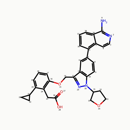 Nc1nccc2c(-c3ccc4c(c3)c(COc3cccc(C5CC5)c3CC(=O)O)nn4C3CCOC3)cccc12